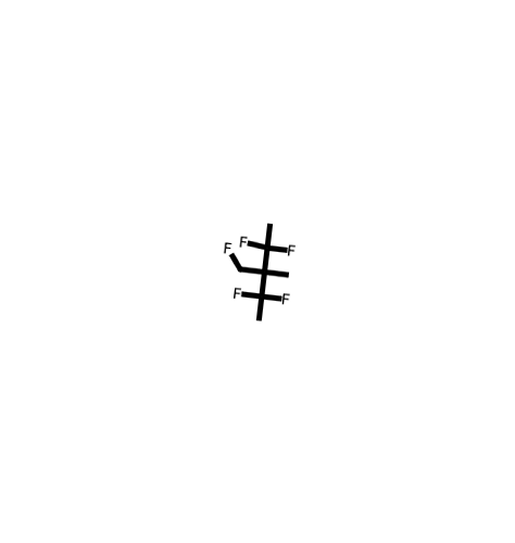 CC(F)(F)C(C)(CF)C(C)(F)F